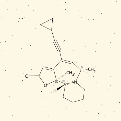 C[C@H]1C=C(C#CC2CC2)C2=CC(=O)O[C@]2(C)[C@H]2CCCCN12